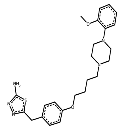 COc1ccccc1N1CCN(CCCCOc2ccc(Cc3nnc(N)s3)cc2)CC1